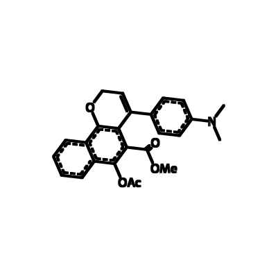 COC(=O)c1c2c(c3ccccc3c1OC(C)=O)OCC=C2c1ccc(N(C)C)cc1